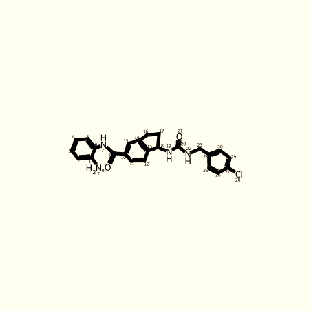 Nc1ccccc1NC(=O)c1ccc2c(c1)CCC2NC(=O)NCc1ccc(Cl)cc1